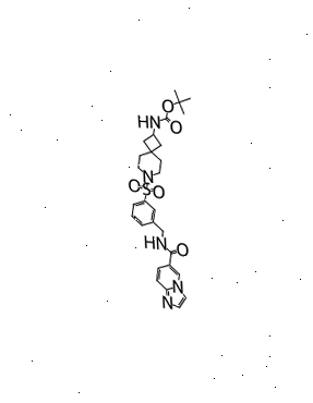 CC(C)(C)OC(=O)NC1CC2(CCN(S(=O)(=O)c3cccc(CNC(=O)c4ccc5nccn5c4)c3)CC2)C1